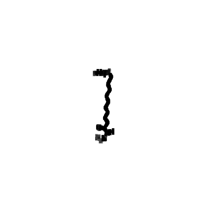 CCCCCCCCCCCCCCCCC(=O)NN